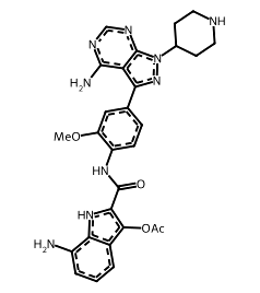 COc1cc(-c2nn(C3CCNCC3)c3ncnc(N)c23)ccc1NC(=O)c1[nH]c2c(N)cccc2c1OC(C)=O